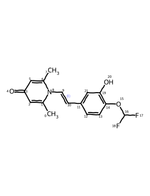 Cc1cc(=O)cc(C)n1/C=C/c1ccc(OC(F)F)c(O)c1